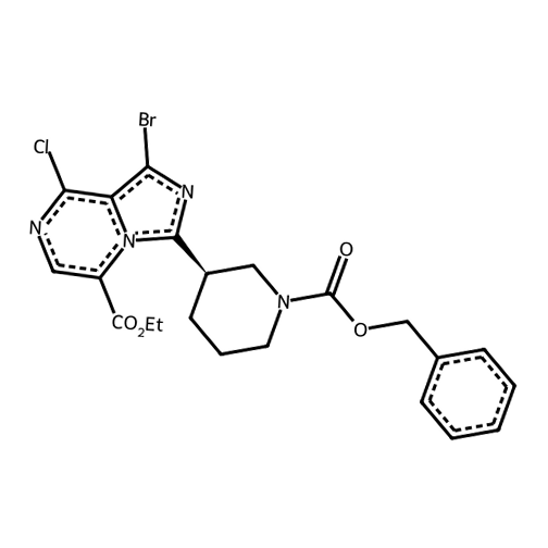 CCOC(=O)c1cnc(Cl)c2c(Br)nc([C@@H]3CCCN(C(=O)OCc4ccccc4)C3)n12